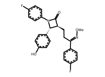 CO/N=C(\CC[C@@H]1C(=O)N(c2ccc(F)cc2)[C@H]1c1ccc(O)cc1)c1ccc(F)cc1